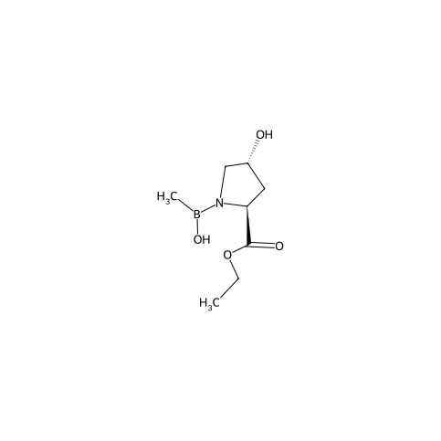 CCOC(=O)[C@@H]1C[C@@H](O)CN1B(C)O